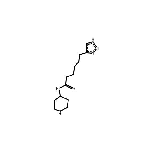 O=C(CCCCCc1c[nH]nn1)NC1CCNCC1